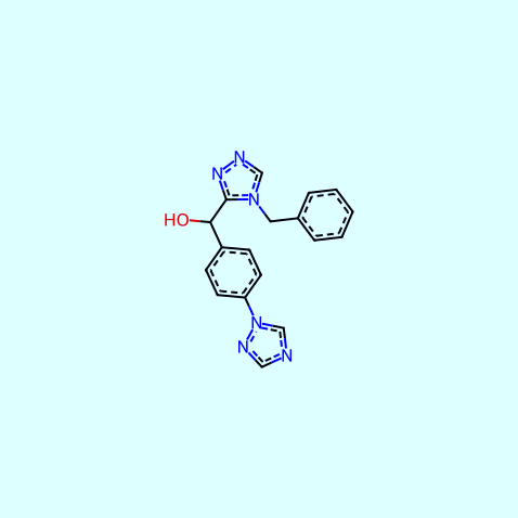 OC(c1ccc(-n2cncn2)cc1)c1nncn1Cc1ccccc1